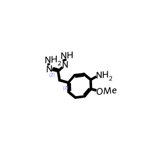 COC1=CC/C=C(/C/C(N=N)=N/N)C=CC1N